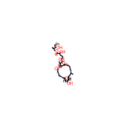 C=C(COC(=O)C(O)C/C=C\C[C@@H]1O[C@@H]2/C=C/C/C=C/C(C)C[C@H]3O[C@@H](C/C=C/C=C/C(=O)O[C@H](C2)[C@@]1(C)CO)C[C@H](O)[C@H]3C)C(O)CC(C)C